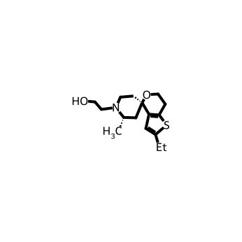 CCc1cc2c(s1)CCO[C@@]21CCN(CCO)[C@@H](C)C1